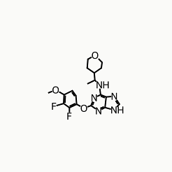 COc1ccc(Oc2nc(NC(C)C3CCOCC3)c3nc[nH]c3n2)c(F)c1F